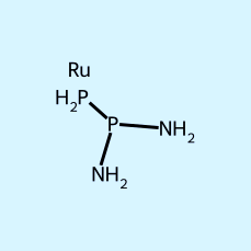 NP(N)P.[Ru]